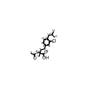 CC(=O)SC(C)(CCc1ccc(CC(C)C)c(Cl)c1)C(=O)O